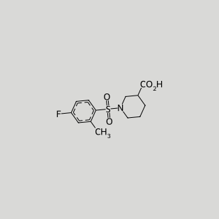 Cc1cc(F)ccc1S(=O)(=O)N1CCCC(C(=O)O)C1